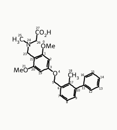 COc1cc(OCc2cccc(-c3ccccc3)c2C)cc(OC)c1CN(C)CC(=O)O